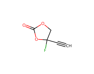 C#CC1(F)COC(=O)O1